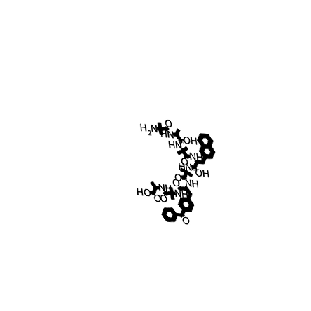 CC(NC(=O)C(C)(C)NC(=O)C(Cc1ccc(C(=O)c2ccccc2)cc1)NC(=O)C(C)(C)N[C@@H](O)C(Cc1ccc2ccccc2c1)NC(=O)C(C)(C)N[C@@H](O)C(C)NC(=O)C(C)(C)N)C(=O)O